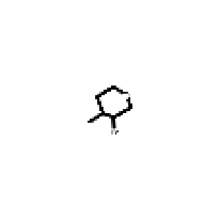 CC1C[CH]OCC1Br